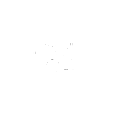 C[P](C)[Pt]([P](C)C)([P](C)C)[P](C)C